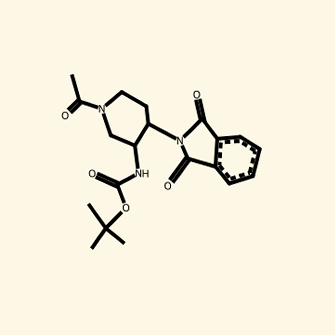 CC(=O)N1CCC(N2C(=O)c3ccccc3C2=O)C(NC(=O)OC(C)(C)C)C1